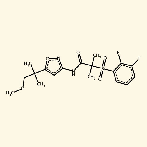 COCC(C)(C)c1cc(NC(=O)C(C)(C)S(=O)(=O)c2cccc(F)c2F)no1